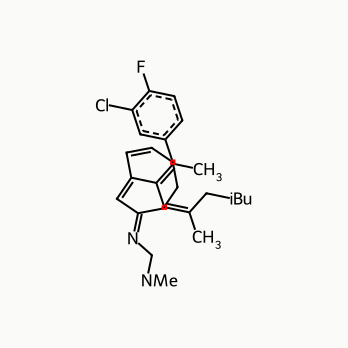 CCC(C)C\C(C)=C/C(C1=C\C(=N\CNC)CCC/C=C\1)=C(\C)c1ccc(F)c(Cl)c1